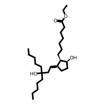 CCCCCC(O)(CC=C1CC[C@H](O)[C@@H]1CCCCCCC(=O)OCC)CCCCC